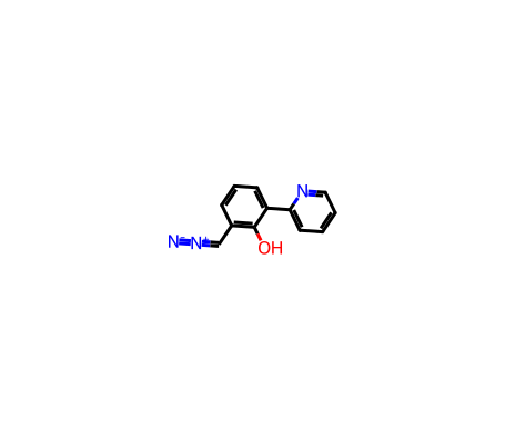 [N-]=[N+]=Cc1cccc(-c2ccccn2)c1O